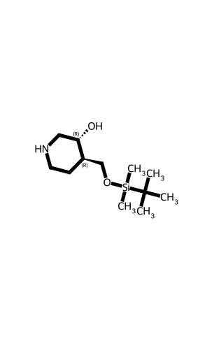 CC(C)(C)[Si](C)(C)OC[C@H]1CCNC[C@@H]1O